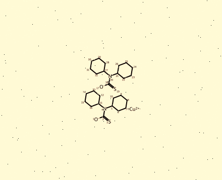 [Cu+2].[O-]C(=S)N(C1CCCCC1)C1CCCCC1.[O-]C(=S)N(C1CCCCC1)C1CCCCC1